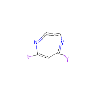 IC1=CC(I)=NC=C=N1